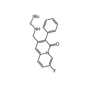 CC(C)(C)SNCc1cc2ccc(F)cn2c(=O)c1-c1ccccc1